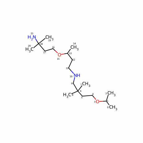 CC(C)OCCC(C)(C)CNCCC(C)OCCC(C)(C)N